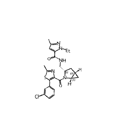 CCn1nc(C)cc1C(=O)NC[C@@H]1C[C@@H]2C[C@@H]2N1C(=O)c1nc(C)sc1-c1cccc(Cl)c1